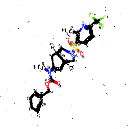 Cc1nc(C(F)(F)F)ccc1S(=O)(=O)N1C[C@H]2CC(N(C)C(=O)OCc3ccccc3)C[C@H]2C1